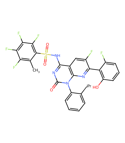 Cc1c(F)c(F)c(F)c(F)c1S(=O)(=O)Nc1nc(=O)n(-c2ccccc2C(C)C)c2nc(-c3c(O)cccc3F)c(F)cc12